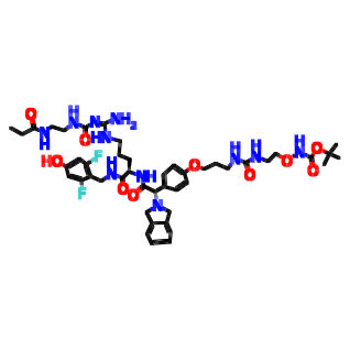 CCC(=O)NCCNC(=O)/N=C(/N)NCCC[C@@H](NC(=O)[C@H](c1ccc(OCCCNC(=O)NCCONC(=O)OC(C)(C)C)cc1)N1Cc2ccccc2C1)C(=O)NCc1c(F)cc(O)cc1F